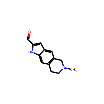 CN1CCc2cc3[nH]c(C=O)cc3cc2C1